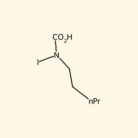 CCCCCN(I)C(=O)O